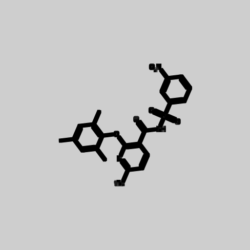 Cc1cc(C)c(Oc2nc(C(C)(C)C)ccc2C(=O)NS(=O)(=O)c2cccc([N+](=O)[O-])c2)c(C)c1